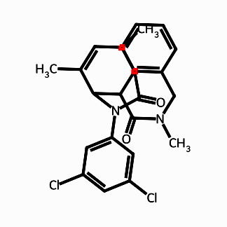 CC1=CC(C)C2C(=O)N(c3cc(Cl)cc(Cl)c3)C1C2C(=O)N(C)Cc1ccccc1